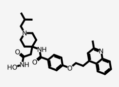 Cc1cc(CCOc2ccc(C(=O)NC3(CC(=O)NO)CCN(CC(C)C)CC3)cc2)c2ccccc2n1